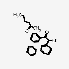 CCC(C(=O)c1ccccc1)c1ccccc1.CCCCC(C)=O.c1ccccc1